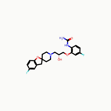 NC(=O)Nc1ccc(F)cc1OC[C@H](O)CN1CCC2(CC1)Cc1cc(F)ccc1O2